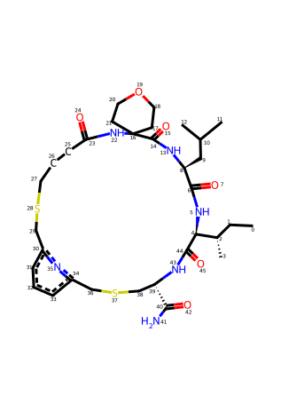 CC[C@H](C)[C@@H]1NC(=O)[C@H](CC(C)C)NC(=O)C2(CCOCC2)NC(=O)CCCSCc2cccc(n2)CSC[C@@H](C(N)=O)NC1=O